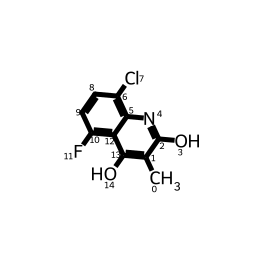 Cc1c(O)nc2c(Cl)ccc(F)c2c1O